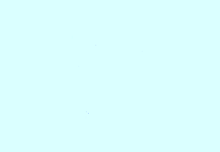 CC(c1ccc(C(=O)Cl)cc1C(F)(F)F)C1CCNCC1.Cl